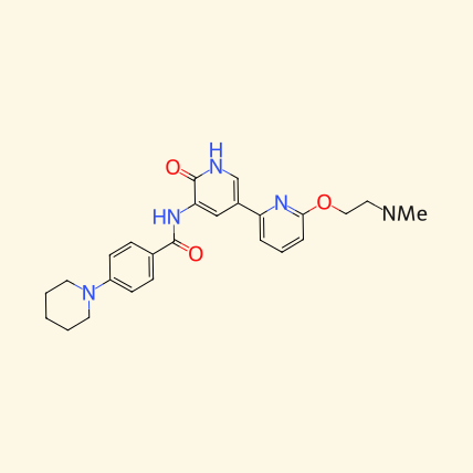 CNCCOc1cccc(-c2c[nH]c(=O)c(NC(=O)c3ccc(N4CCCCC4)cc3)c2)n1